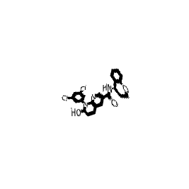 O=C(N[C@H]1CCOc2ccccc21)c1cnc2c(c1)C=CC(O)N2c1cc(Cl)cc(Cl)c1